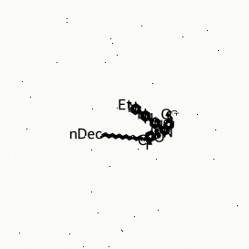 CCCCCCCCCCCCCCCCCCCCCCOc1ccc(S(=O)(=O)c2cnc3ccc([S+](C)[O-])cc3c2N2CCC(N3CCN(C4CCN(CC)CC4)CC3)CC2)cc1F